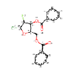 O=C(OC[C@H]1O[C@H](Cl)C(F)[C@H]1OC(=O)c1ccccc1)c1ccccc1